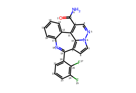 NC(=O)c1cnn2ccc3c2c1-c1ccccc1N=C3c1cccc(F)c1F